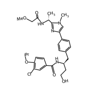 COCC(=O)N[C@H](C)c1nc(-c2ccc(C[C@@H](CCO)NC(=O)c3ccc(OC(C)C)c(Cl)c3)cc2)cn1C